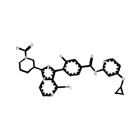 CCC(=O)N1CCCC(c2nc(-c3ccc(C(=O)Nc4cc(OC5CC5)ccn4)cc3F)c3c(N)nccn23)C1